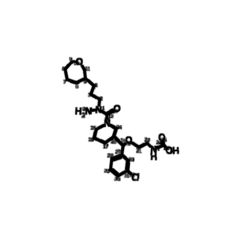 NN(CCCC1CCCCOC1)C(=O)N1CCCC(C(OCCNC(=O)O)c2cccc(Cl)c2)C1